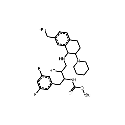 CC(C)(C)Cc1ccc2c(c1)C(NCC(O)C(Cc1cc(F)cc(F)c1)NC(=O)OC(C)(C)C)C(N1CCCCC1)CC2